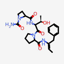 C/C=C(\Cc1ccccc1)NC(=O)C1CCCN1C(=O)C(NC(=O)C1CCN1C(N)=O)[C@@H](C)O